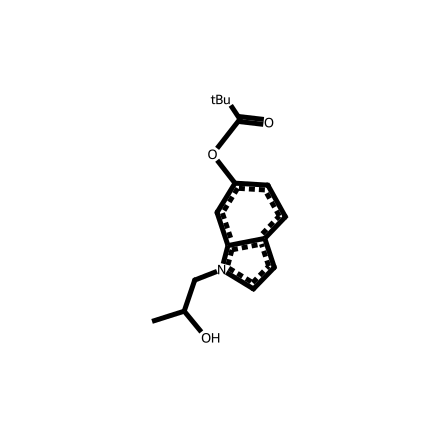 CC(O)Cn1ccc2ccc(OC(=O)C(C)(C)C)cc21